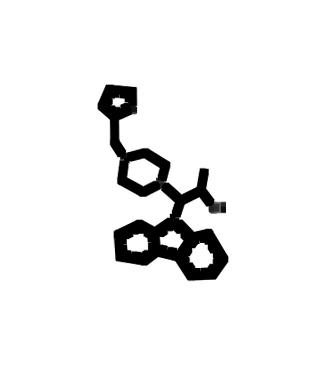 CC(O)C(N1CCN(Cc2cccs2)CC1)n1c2ccccc2c2ccccc21